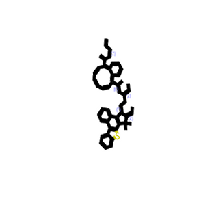 C=C/C=C\C(=C)c1ccccccc(/C(C)=C/C(=C\C)C/C=C2\C(=C/C)C(C)(C)c3c2c2ccccc2c2c3sc3ccccc32)c2ccccc12